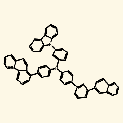 c1cc(-c2ccc(N(c3ccc(-c4cccc5c4ccc4ccccc45)cc3)c3cccc(-n4c5ccccc5c5ccccc54)c3)cc2)cc(-c2ccc3ccccc3c2)c1